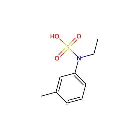 CCN(c1cc[c]c(C)c1)S(=O)(=O)O